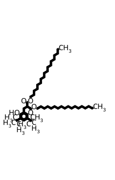 CCCCCCCCCCCCCCCCCCOC(=O)C(Cc1cc(C(C)(C)C)cc(C(C)(C)C)c1O)C(=O)OCCCCCCCCCCCCCCCCCC